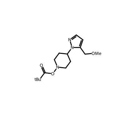 COCc1ccnn1C1CCN(OC(=O)C(C)(C)C)CC1